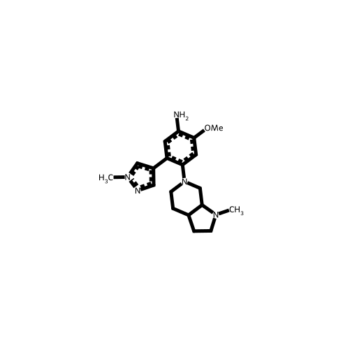 COc1cc(N2CCC3CCN(C)C3C2)c(-c2cnn(C)c2)cc1N